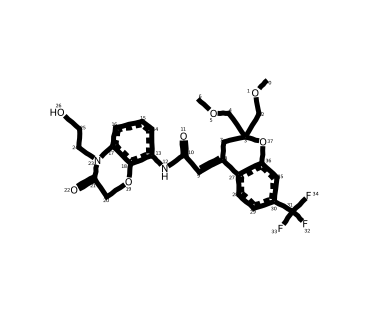 COCC1(COC)C/C(=C\C(=O)Nc2cccc3c2OCC(=O)N3CCO)c2ccc(C(F)(F)F)cc2O1